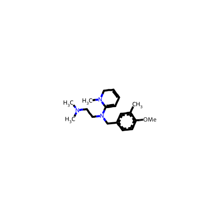 COc1ccc(CN(CCN(C)C)C2=CC=CCN2C)cc1C